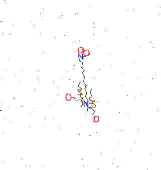 CCCSSC(CCOC)=C(C)N(CCCCCCCCCCCCN(C=O)C=O)C(C)=C(CCOC)SSCCC